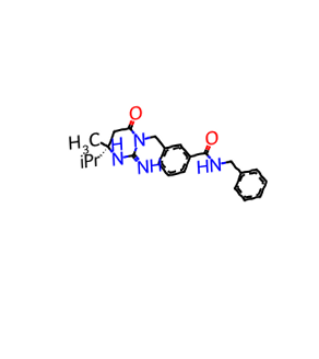 CC(C)[C@]1(C)CC(=O)N(Cc2cccc(C(=O)NCc3ccccc3)c2)C(=N)N1